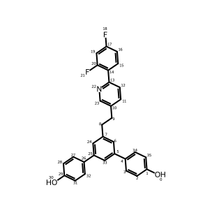 Oc1ccc(-c2cc(CCc3ccc(-c4ccc(F)cc4F)nc3)cc(-c3ccc(O)cc3)c2)cc1